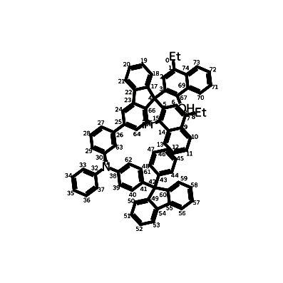 CCc1cc(C2(c3cc(CC)c4ccccc4c3C(C)C)c3ccccc3-c3cc(-c4cccc(N(c5ccccc5)c5ccc(C6(c7ccccc7)c7ccccc7-c7ccccc76)cc5)c4)ccc32)c(O)c2ccccc12